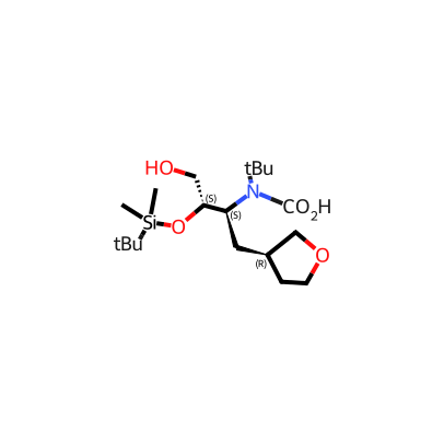 CC(C)(C)N(C(=O)O)[C@@H](C[C@@H]1CCOC1)[C@@H](CO)O[Si](C)(C)C(C)(C)C